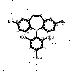 CC(C)(C)c1cc(C(C)(C)C)c(B2c3ccc(Br)cc3C=Cc3cc(Br)ccc32)c(C(C)(C)C)c1